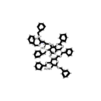 CCC[C@@H](OCc1ccccc1)/C(=C/[C@H](O)OC1C(OCc2ccccc2)[C@H](O[C@@H]2C(COCc3ccccc3)O[C@@H](OCc3ccccc3)C(NC(C)=O)C2OCc2ccccc2)OC2COC(c3ccccc3)O[C@H]21)OCc1ccccc1